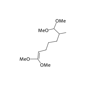 COC(=CCCCC(C)C(OC)OC)OC